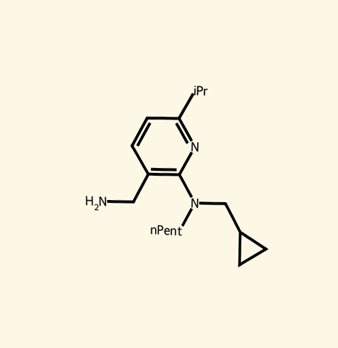 CCCCCN(CC1CC1)c1nc(C(C)C)ccc1CN